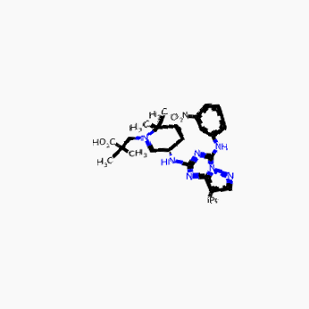 CC(C)c1cnn2c(Nc3cccc([N+](=O)[O-])c3)nc(N[C@H]3CCC(C)(C)N(CC(C)(C)C(=O)O)C3)nc12